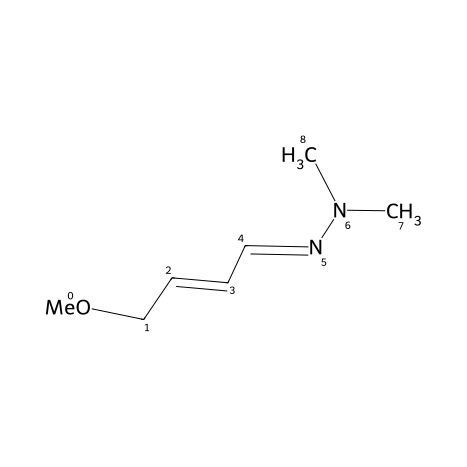 COC/C=C/C=NN(C)C